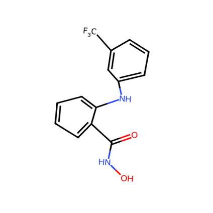 O=C(NO)c1ccccc1Nc1cccc(C(F)(F)F)c1